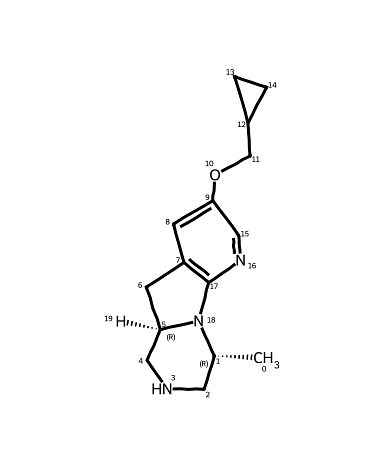 C[C@@H]1CNC[C@H]2Cc3cc(OCC4CC4)cnc3N21